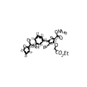 CCOC(=O)COc1c(C(=O)OC)sc(-c2cccc(NC(=O)c3ccco3)c2)c1Br